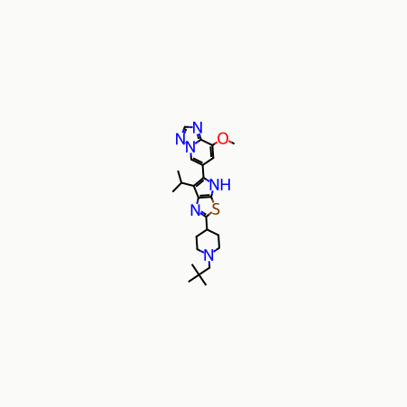 COc1cc(-c2[nH]c3sc(C4CCN(CC(C)(C)C)CC4)nc3c2C(C)C)cn2ncnc12